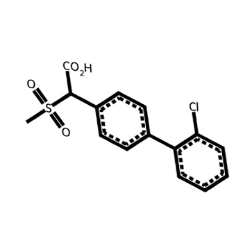 CS(=O)(=O)C(C(=O)O)c1ccc(-c2ccccc2Cl)cc1